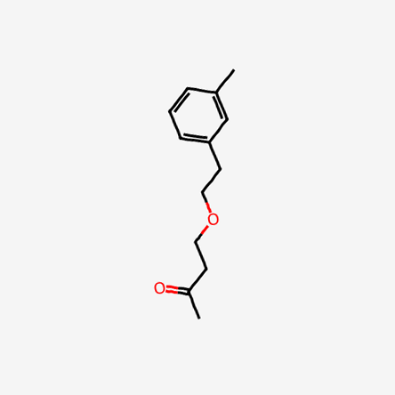 CC(=O)CCOCCc1cccc(C)c1